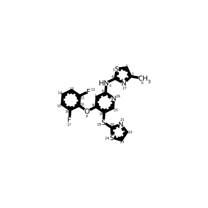 Cc1csc(Nc2cc(Oc3c(F)cccc3F)c(Sc3nccs3)cn2)n1